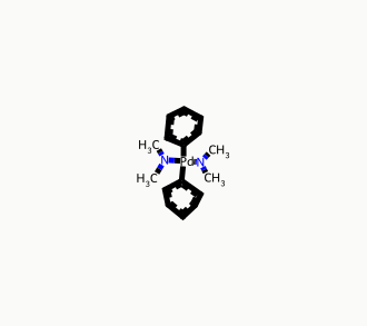 C[N](C)[Pd]([c]1ccccc1)([c]1ccccc1)[N](C)C